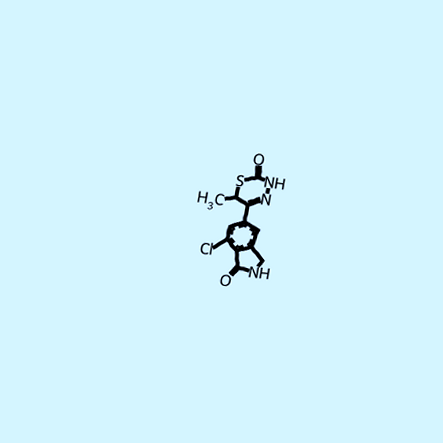 CC1SC(=O)NN=C1c1cc(Cl)c2c(c1)CNC2=O